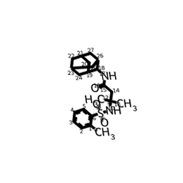 Cc1ccccc1S(=O)(=O)NC(C)(C)CC(=O)NC1C2CC3CC(C2)CC1C3